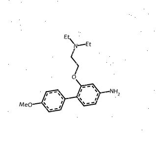 CCN(CC)CCOc1cc(N)ccc1-c1ccc(OC)cc1